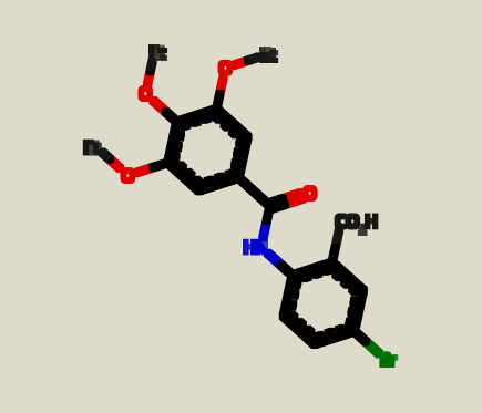 CCOc1cc(C(=O)Nc2ccc(Br)cc2C(=O)O)cc(OCC)c1OCC